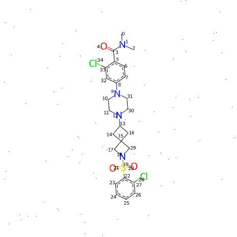 CN(C)C(=O)c1ccc(N2CCN(C3CC4(C3)CN(S(=O)(=O)c3ccccc3Cl)C4)CC2)cc1Cl